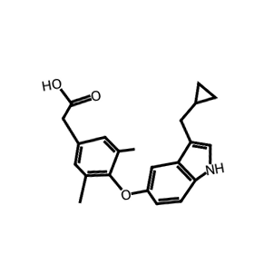 Cc1cc(CC(=O)O)cc(C)c1Oc1ccc2[nH]cc(CC3CC3)c2c1